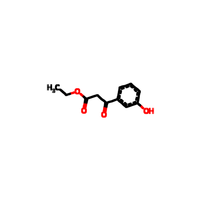 CCOC(=O)CC(=O)c1cccc(O)c1